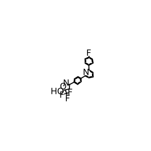 OC1(C(F)(F)F)CC(c2ccc(-c3cccc(-c4ccc(F)cc4)n3)cc2)=NO1